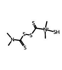 CN(C)C(=S)SSC(=S)[N+](C)(C)S